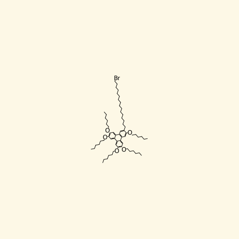 CCCCCCOc1cc2c(cc1CCCCCCCCCCCCCCCCBr)c1cc(OCCCCCC)c(OCCCCCC)cc1c1cc(OCCCCCC)c(OCCCCCC)cc21